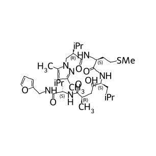 CSCC[C@H](NC(=O)[C@@H](Cn1nc(C)cc1C)C(C)C)C(=O)N[C@@H](CC(C)C)[C@@H](O)C[C@@H](C)C(=O)N[C@H](C(=O)NCc1ccco1)C(C)C